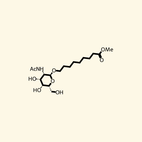 COC(=O)CCCCCCCCO[C@H]1O[C@H](CO)[C@H](O)[C@H](O)[C@@H]1NC(C)=O